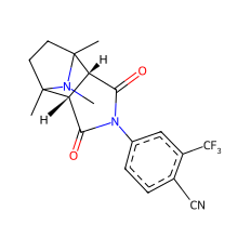 CN1C2(C)CCC1(C)[C@H]1C(=O)N(c3ccc(C#N)c(C(F)(F)F)c3)C(=O)[C@H]12